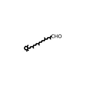 CC1=C(/C=C/C(C)=C/C=C/C(C)=C/C=C/C=C(C)/C=C/C(C)=C/C=O)C(C)(C)CCC1